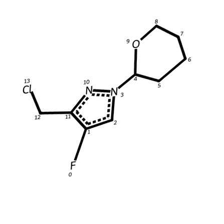 Fc1cn(C2CCCCO2)nc1CCl